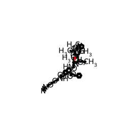 CCCO[C@H](C[C@H](C(C)C)N(CCC)C(=O)[C@@H](NC(=O)[C@H]1CCCCN1C)[C@@H](C)CC)c1nc(C(=O)N[C@H]2Cc3ccc(OC(=O)NCCOCCOCCN=[N+]=[N-])cc3[C@H](C(=O)OCc3ccccc3)C2)cs1